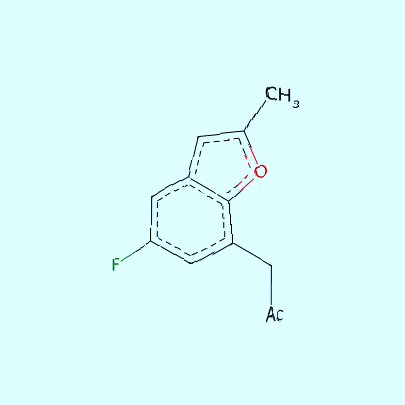 CC(=O)Cc1cc(F)cc2cc(C)oc12